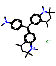 CC1CC(C)(C)N(C)c2ccc(C(c3ccc(N(C)C)cc3)=c3ccc4c(c3)C(C)CC(C)(C)[N+]=4C)cc21.[Cl-]